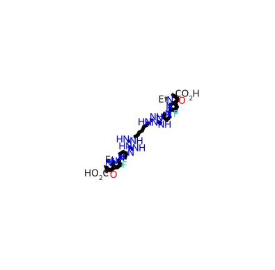 CCn1cc(C(=O)O)c(=O)c2cc(F)c(N3CCC(N(C)C(=N)NC(=N)NCCCCCCNC(=N)NC(=N)N(C)C4CCN(c5nc6c(cc5F)c(=O)c(C(=O)O)cn6CC)C4)C3)nc21